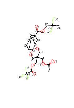 CC(=O)OCC1(COC(=O)C(F)(F)F)COC2(OC1)C1CC3CC2CC(C(=O)OCC(C)(F)F)(C3)C1